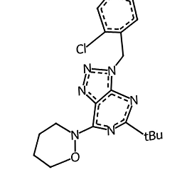 CC(C)(C)c1nc(N2CCCCO2)c2nnn(Cc3ccccc3Cl)c2n1